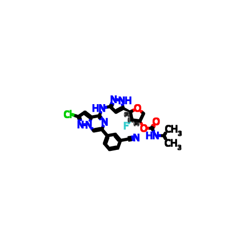 CC(C)NC(=O)O[C@@H]1CO[C@H](c2cc(Nc3nc(-c4cccc(C#N)c4)cn4nc(Cl)cc34)n[nH]2)[C@H]1F